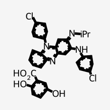 CC(C)N=c1cc2n(-c3ccc(Cl)cc3)c3ccccc3nc-2cc1Nc1ccc(Cl)cc1.O=C(O)c1cc(O)ccc1O